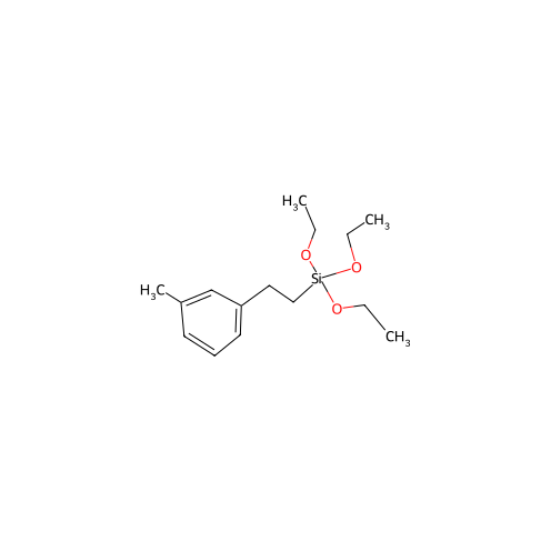 CCO[Si](CCc1cccc(C)c1)(OCC)OCC